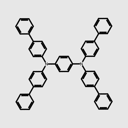 c1ccc(-c2ccc(N(c3ccc(-c4ccccc4)cc3)c3ccc(N(c4ccc(-c5ccccc5)cc4)c4ccc(-c5ccccc5)cc4)cc3)cc2)cc1